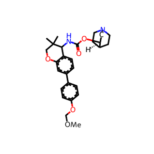 COCOc1ccc(-c2ccc3c(c2)OCC(C)(C)C3NC(=O)O[C@H]2CN3CCC2CC3)cc1